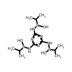 CC(C)N(O)Nc1nc(NN(O)C(C)C)nc(NN(O)C(C)C)n1